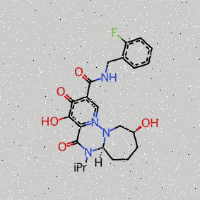 CC(C)N1C(=O)c2c(O)c(=O)c(C(=O)NCc3ccccc3F)cn2N2C[C@@H](O)CCC[C@@H]12